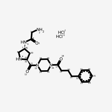 Cl.Cl.NCC(=O)N[C@H]1CN[C@H](C(=O)N2CCN(C(=O)CCCc3ccccc3)CC2)C1